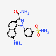 NC(=O)c1nn(-c2cccc(S(N)(=O)=O)c2)c2c1ccc1ccc(N)cc12